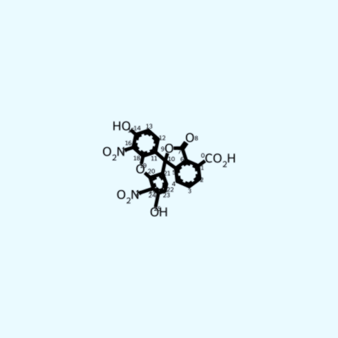 O=C(O)c1cccc2c1C(=O)OC21c2ccc(O)c([N+](=O)[O-])c2Oc2c1ccc(O)c2[N+](=O)[O-]